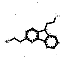 OCCc1ccc2c(c1)-c1ccccc1C2CCO